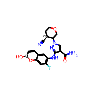 N#C[C@H]1CCOCC1n1cc(C(N)=O)c(Nc2cc3c(cc2F)OB(O)C=C3)n1